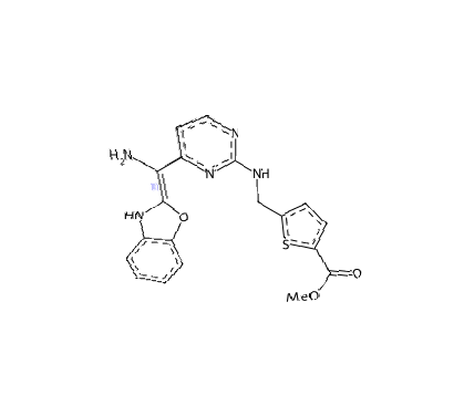 COC(=O)c1ccc(CNc2nccc(/C(N)=C3/Nc4ccccc4O3)n2)s1